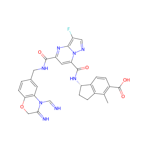 Cc1c(C(=O)O)ccc2c1CC[C@@H]2NC(=O)c1cc(C(=O)NCc2ccc3c(c2)N(C=N)C(=N)CO3)nc2c(F)cnn12